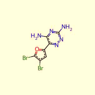 Nc1nnc(-c2cc(Br)c(Br)o2)c(N)n1